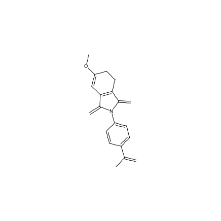 C=C(C)c1ccc(-n2c(=C)c3c(c2=C)CCC(OC)=C3)cc1